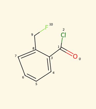 O=C(Cl)c1ccccc1CF